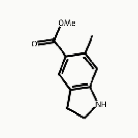 COC(=O)c1cc2c(cc1C)NCC2